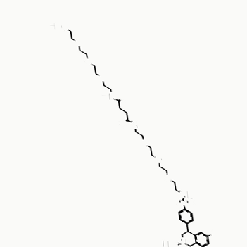 CCCOCCOCCOCCNC(=O)CCC(=O)NCCOCCOCCOCCNS(=O)(=O)c1ccc(C2CN(C)Cc3c(Cl)cc(Cl)cc32)cc1